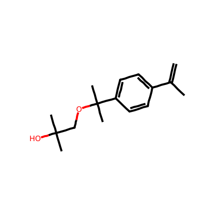 C=C(C)c1ccc(C(C)(C)OCC(C)(C)O)cc1